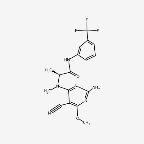 COc1nc(N)nc(N(C)[C@@H](C)C(=O)Nc2cccc(C(F)(F)F)c2)c1C#N